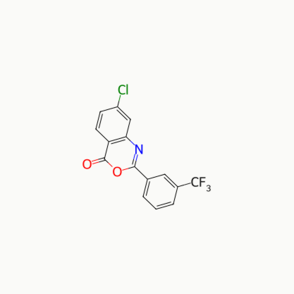 O=c1oc(-c2cccc(C(F)(F)F)c2)nc2cc(Cl)ccc12